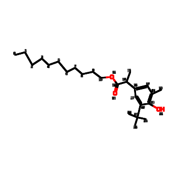 CCCCCCCCCCCOC(=O)C(C)c1cc(C)c(O)c(C(C)(C)C)c1